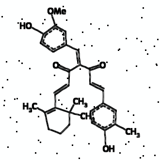 COc1cc(/C=C(\C(=O)/C=C/C2=C(C)CCCC2(C)C)C(=O)/C=C/c2ccc(O)c(C)c2)ccc1O